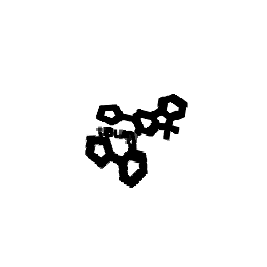 CC1(C)c2ccccc2-c2cc(C3CCCC3)c(N(c3ccccc3C3CCCC3)C(C)(C)C)cc21